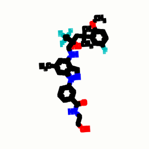 COc1ccc(F)cc1C(C)(C)CC(O)(CNc1cc(C)cc2c1cnn2-c1cccc(C(=O)NCCO)c1)C(F)(F)F